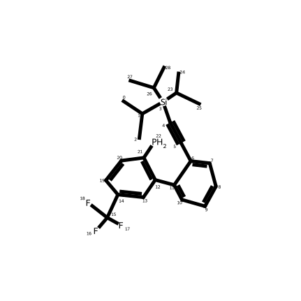 CC(C)[Si](C#Cc1ccccc1-c1cc(C(F)(F)F)ccc1P)(C(C)C)C(C)C